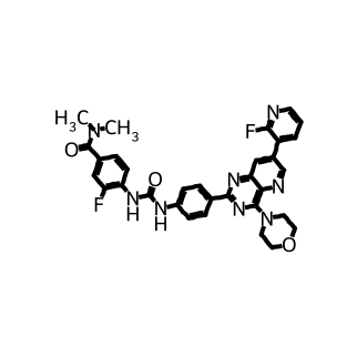 CN(C)C(=O)c1ccc(NC(=O)Nc2ccc(-c3nc(N4CCOCC4)c4ncc(-c5cccnc5F)cc4n3)cc2)c(F)c1